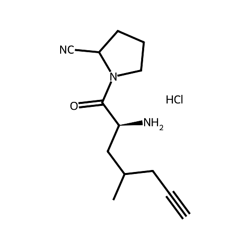 C#CCC(C)C[C@H](N)C(=O)N1CCCC1C#N.Cl